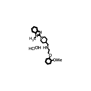 COc1ccccc1OCCNCC1CCN(c2nc3ccccc3n2C)CC1.Cl.Cl